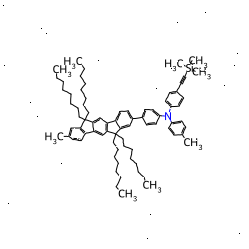 CCCCCCCCC1(CCCCCCCC)c2cc(C)ccc2-c2cc3c(cc21)-c1ccc(-c2ccc(N(c4ccc(C)cc4)c4ccc(C#C[Si](C)(C)C)cc4)cc2)cc1C3(CCCCCCCC)CCCCCCCC